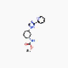 CC(C)(C)OC(=O)N[C@H]1CCC[C@H](n2cnc(-c3ccccn3)n2)C1